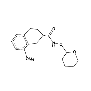 COc1cccc2c1CC(C(=O)NOC1CCCCO1)CC2